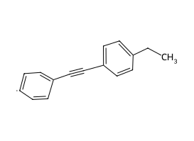 CCc1ccc(C#Cc2cc[c]cc2)cc1